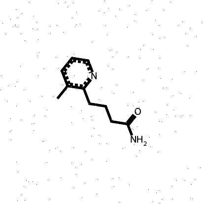 Cc1cccnc1CCCC(N)=O